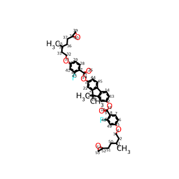 CC(CCOc1ccc(C(=O)Oc2ccc3c(c2)C(C)(C)c2cc(OC(=O)c4ccc(OCCC(C)CCC5CO5)cc4F)ccc2-3)c(F)c1)CCC1CO1